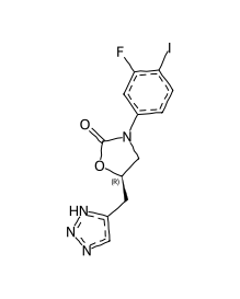 O=C1O[C@H](Cc2cnn[nH]2)CN1c1ccc(I)c(F)c1